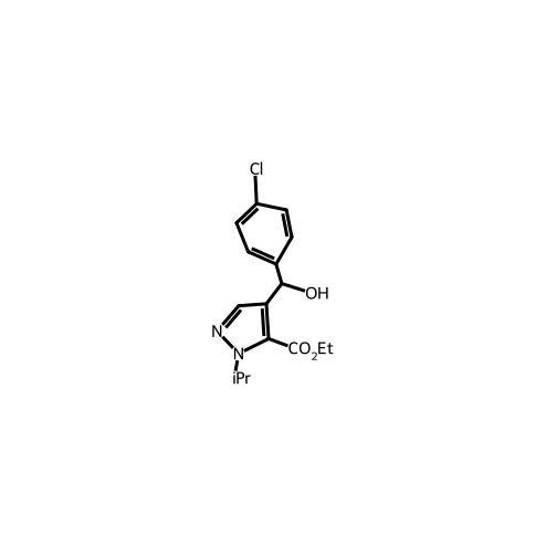 CCOC(=O)c1c(C(O)c2ccc(Cl)cc2)cnn1C(C)C